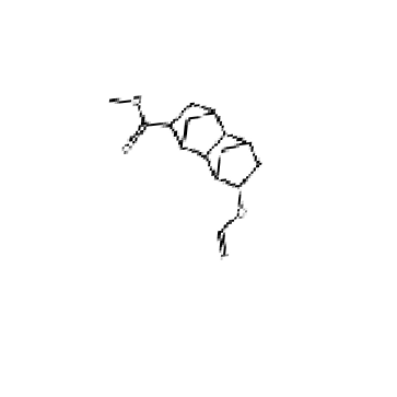 C=COC1CC2CC1C1C3CC(CC3C(=O)OC)C21